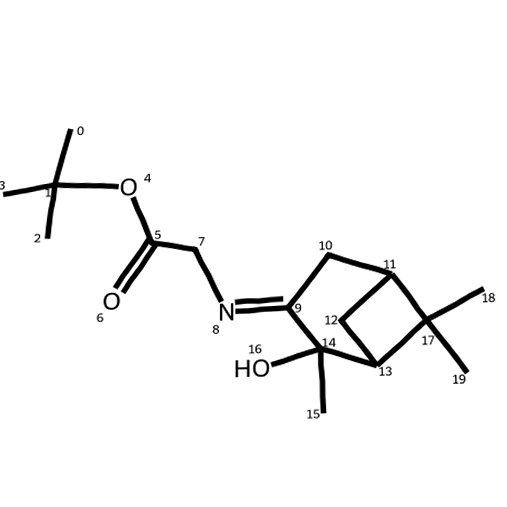 CC(C)(C)OC(=O)CN=C1CC2CC(C1(C)O)C2(C)C